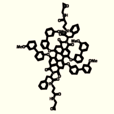 COc1cccc(-c2cccc(Oc3cc4c5c(cc(Oc6cccc(-c7cccc(OC)c7)c6)c6c7c(Oc8cccc(-c9cccc(OC)c9)c8)cc8c9c(cc(Oc%10cccc(-c%11cccc(OC)c%11)c%10)c(c3c56)c97)C(=O)N(C(Cc3ccccc3)C(=O)NCCC(=O)NCC3CO3)C8=O)C(=O)N(C(Cc3ccccc3)C(=O)NCCC(=O)NCC3CO3)C4=O)c2)c1